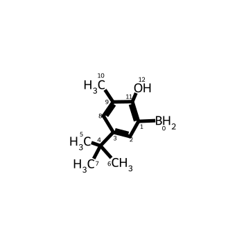 Bc1cc(C(C)(C)C)cc(C)c1O